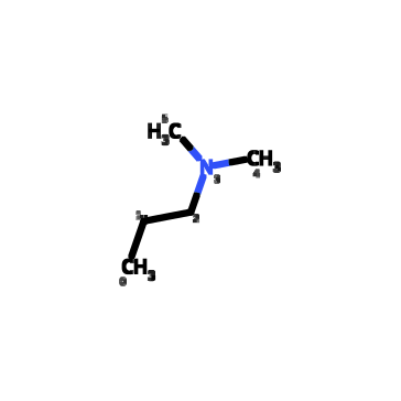 C[C]CN(C)C